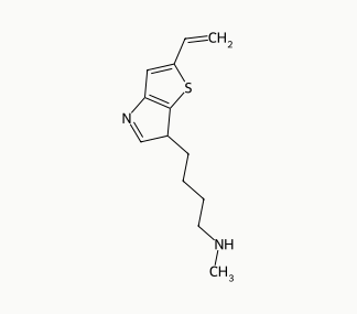 C=Cc1cc2c(s1)C(CCCCNC)C=N2